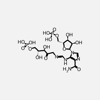 NC(=O)c1ncn([C@@H]2O[C@H](COP(=O)(O)O)[C@@H](O)[C@H]2O)c1NC=NCC(=O)[C@H](O)[C@H](O)COP(=O)(O)O